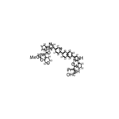 COC(=O)N[C@H](C(=O)N1CCC[C@H]1c1ncc(-c2ccc(-c3ccc4cc(-c5c[nH]c([C@@H]6CCCN6C(=O)[C@@H](NC=O)C(C)C)n5)ccc4c3)nc2)[nH]1)C1CCOCC1